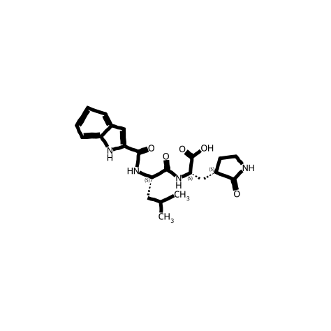 CC(C)C[C@H](NC(=O)c1cc2ccccc2[nH]1)C(=O)N[C@@H](C[C@@H]1CCNC1=O)C(=O)O